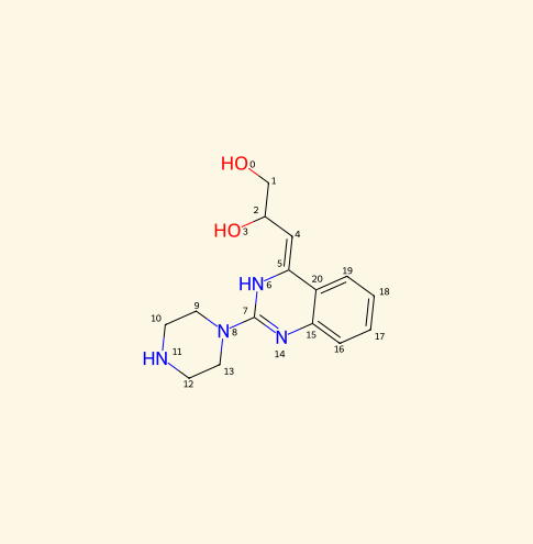 OCC(O)C=C1NC(N2CCNCC2)=Nc2ccccc21